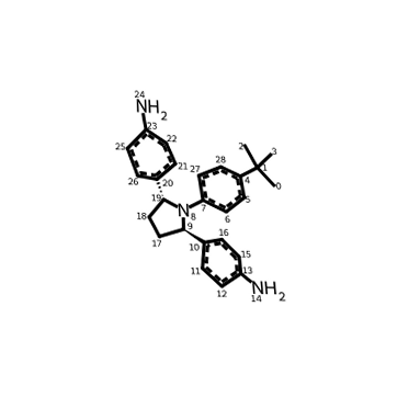 CC(C)(C)c1ccc(N2[C@@H](c3ccc(N)cc3)CC[C@@H]2c2ccc(N)cc2)cc1